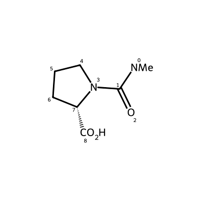 CNC(=O)N1CCC[C@H]1C(=O)O